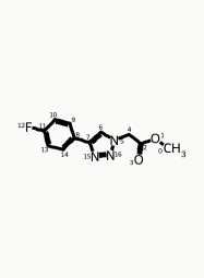 COC(=O)Cn1cc(-c2ccc(F)cc2)nn1